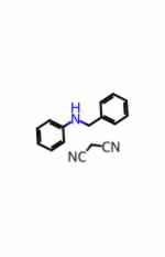 N#CCC#N.c1ccc(CNc2ccccc2)cc1